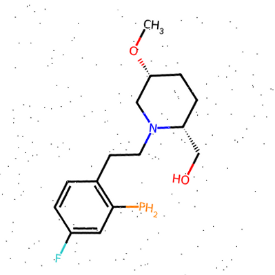 CO[C@@H]1CC[C@H](CO)N(CCc2ccc(F)cc2P)C1